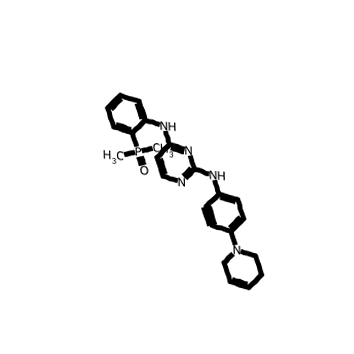 CP(C)(=O)c1ccccc1Nc1ccnc(Nc2c#cc(N3CC=CCC3)cc2)n1